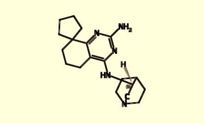 Nc1nc(N[C@@H]2CN3CCC2CC3)c2c(n1)C1(CCCC1)CCC2